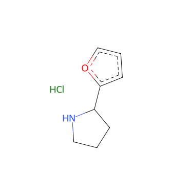 Cl.c1coc(C2CCCN2)c1